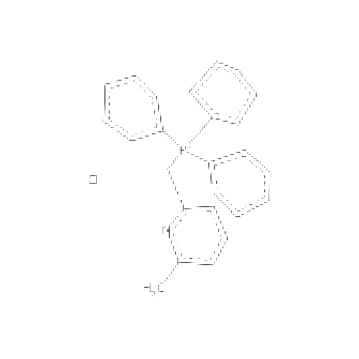 Cc1cccc(C[P+](c2ccccc2)(c2ccccc2)c2ccccc2)n1.[Cl-]